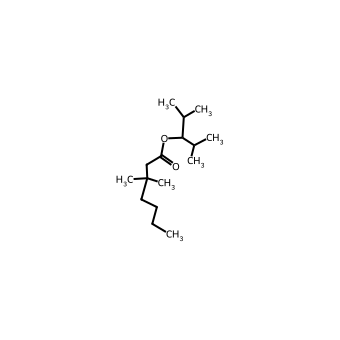 CCCCC(C)(C)CC(=O)OC(C(C)C)C(C)C